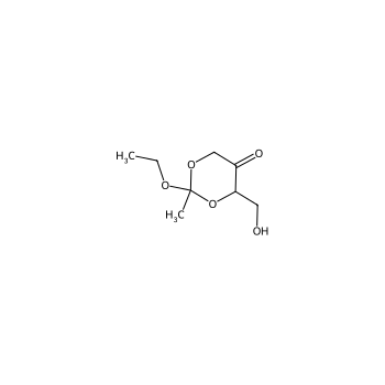 CCOC1(C)OCC(=O)C(CO)O1